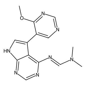 COc1ncncc1-c1c[nH]c2ncnc(/N=C/N(C)C)c12